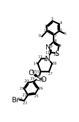 Cc1cccc(C)c1-c1csc(N2CCC(S(=O)(=O)c3ccc(CBr)cc3)CC2)n1